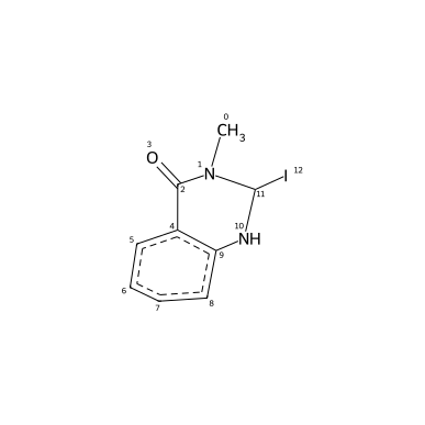 CN1C(=O)c2ccccc2NC1I